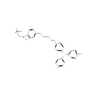 Cc1ccc(N(c2ccc(C)cc2)c2ccc(CCCCCc3ccc4c(c3)CC4CC(C)(C)C)cc2)cc1